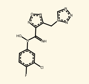 N=C(c1nonc1Cn1cnnn1)N(O)c1ccc(F)c(Cl)c1